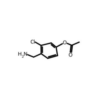 CC(=O)Oc1ccc(CN)c(Cl)c1